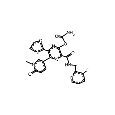 Cn1cc(-c2nc(C(=O)NCc3ncccc3F)c(OC(N)=O)nc2-c2ncco2)ccc1=O